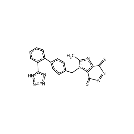 Cc1nc2c(n1Cc1ccc(-c3ccccc3-c3nnn[nH]3)cc1)C(=S)N=NC2=S